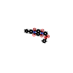 O=C(OCc1ccccc1)c1cccc(N2C(=O)c3ccc4c5c(ccc(c35)C2=O)C(=O)N(c2ccc(C3=CCC=C3)cc2)C4=O)c1